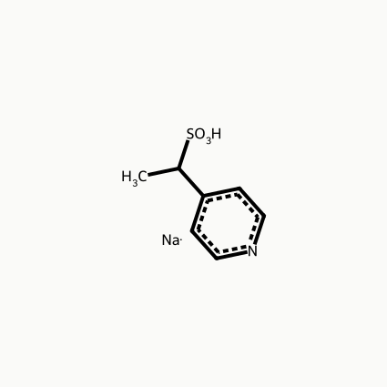 CC(c1ccncc1)S(=O)(=O)O.[Na]